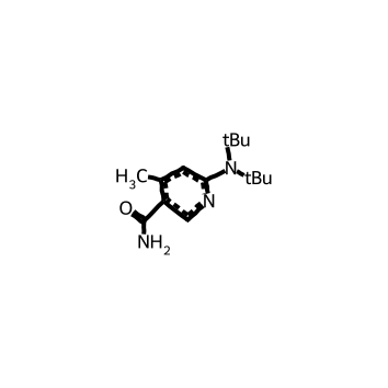 Cc1cc(N(C(C)(C)C)C(C)(C)C)ncc1C(N)=O